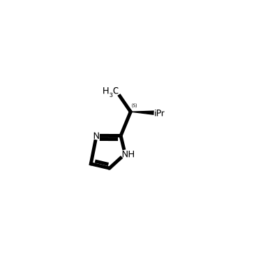 CC(C)[C@H](C)c1ncc[nH]1